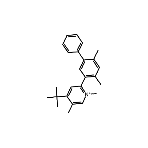 Cc1cc(C)c(-c2cc(C(C)(C)C)c(C)c[n+]2C)cc1-c1ccccc1